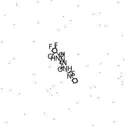 O=C(NCc1csc(-c2ccccc2)n1)c1cc(NC(=O)c2cc(F)c(F)cc2Cl)[nH]n1